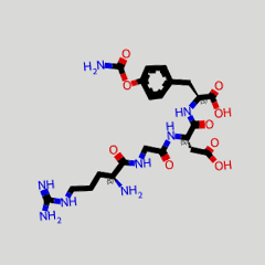 N=C(N)NCCC[C@H](N)C(=O)NCC(=O)N[C@@H](CC(=O)O)C(=O)N[C@@H](Cc1ccc(OC(N)=O)cc1)C(=O)O